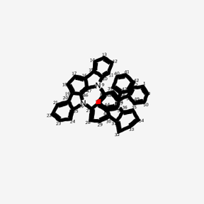 c1ccc(-c2cccc(-n3c4ccccc4c4ccc5c6ccccc6n(-c6ccc7c8ccccc8n(-c8ccccc8)c7c6)c5c43)c2)cc1